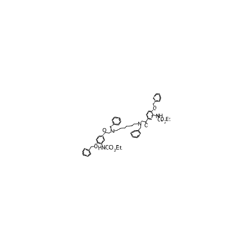 CCOC(=O)Nc1cc(C(=O)CN(CCCCCCN(CC(=O)c2ccc(OCc3ccccc3)c(NC(=O)OCC)c2)Cc2ccccc2)Cc2ccccc2)ccc1OCc1ccccc1